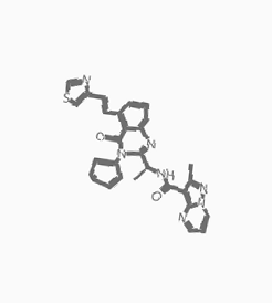 Cc1nn2cccnc2c1C(=O)N[C@@H](C)c1nc2cccc(/C=C/c3cscn3)c2c(=O)n1-c1ccccc1